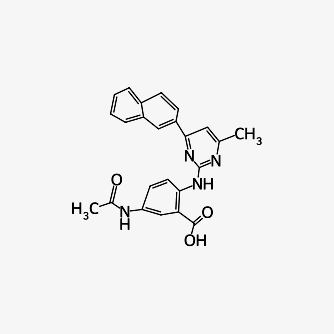 CC(=O)Nc1ccc(Nc2nc(C)cc(-c3ccc4ccccc4c3)n2)c(C(=O)O)c1